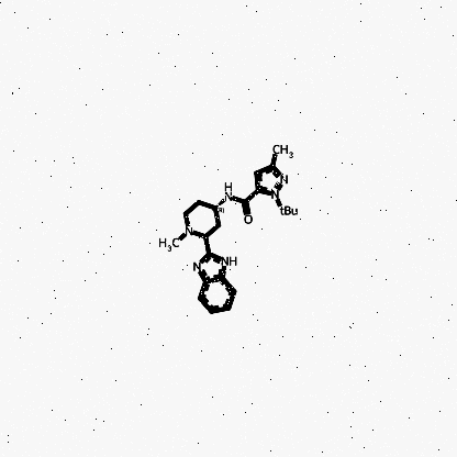 Cc1cc(C(=O)N[C@@H]2CCN(C)C(c3nc4ccccc4[nH]3)C2)n(C(C)(C)C)n1